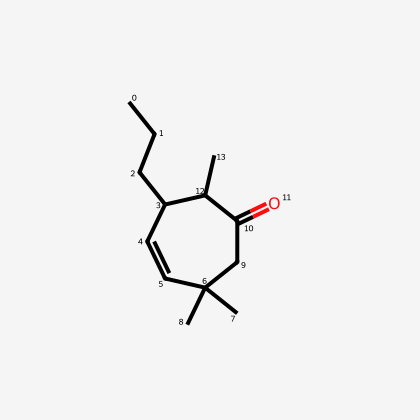 CCCC1C=CC(C)(C)CC(=O)C1C